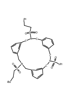 CCCS(=O)(=O)N1Cc2cccc(c2)CN(S(=O)(=O)CCC(C)C)Cc2cccc(c2)CN(S(=O)(=O)CCC(C)CC)Cc2cccc(c2)C1